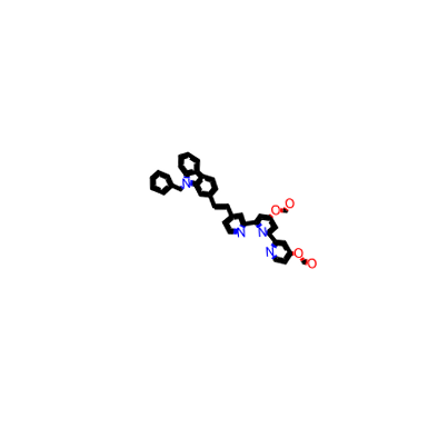 O=COc1ccnc(-c2cc(OC=O)cc(-c3cc(/C=C/c4ccc5c6ccccc6n(Cc6ccccc6)c5c4)ccn3)n2)c1